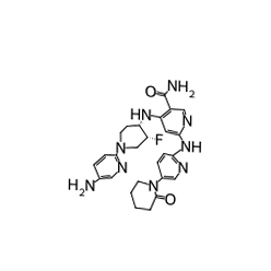 NC(=O)c1cnc(Nc2ccc(N3CCCCC3=O)cn2)cc1N[C@H]1CCN(c2ccc(N)cn2)C[C@H]1F